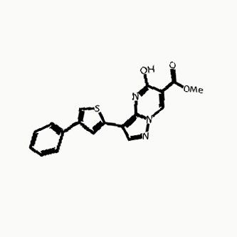 COC(=O)c1cn2ncc(-c3cc(-c4ccccc4)cs3)c2nc1O